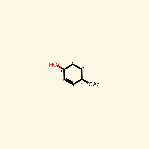 CC(=O)OC1C=CC(O)CC1